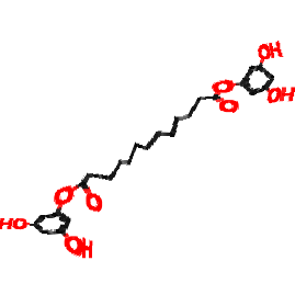 O=C(CCCCCCCCCCCC(=O)Oc1cc(O)cc(O)c1)Oc1cc(O)cc(O)c1